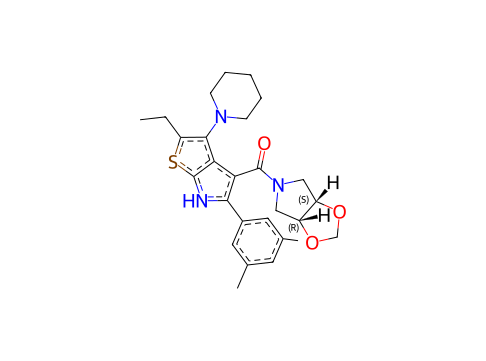 CCc1sc2[nH]c(-c3cc(C)cc(C)c3)c(C(=O)N3C[C@@H]4OCO[C@@H]4C3)c2c1N1CCCCC1